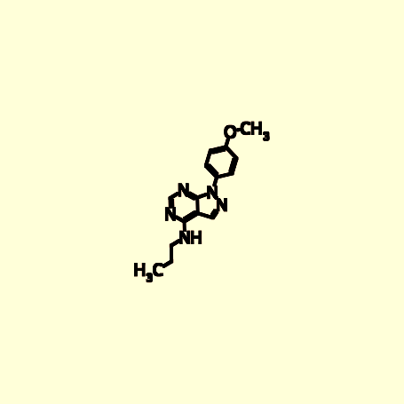 CCCNc1ncnc2c1cnn2-c1ccc(OC)cc1